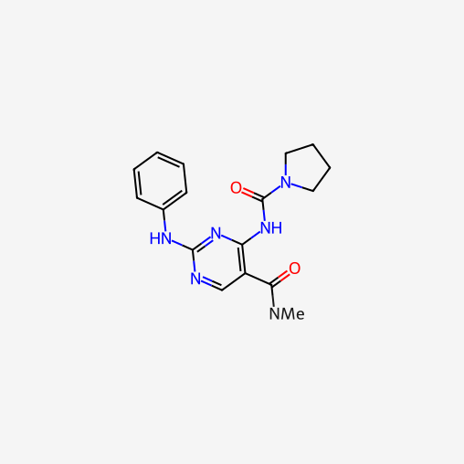 CNC(=O)c1cnc(Nc2ccccc2)nc1NC(=O)N1CCCC1